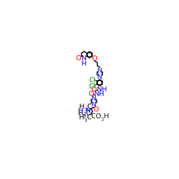 CC(C)(CC(C)(N)C(=O)N1CCN(C(=O)NC(=O)Nc2ccc(N3CCN(CCCCOc4ccc5c(c4)NC(=O)CC5)CC3)c(Cl)c2Cl)CC1)C(=O)O